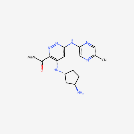 CNC(=O)c1nnc(Nc2cnc(C#N)cn2)cc1N[C@@H]1CC[C@@H](N)C1